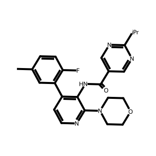 Cc1ccc(F)c(-c2ccnc(N3CCOCC3)c2NC(=O)c2cnc(C(C)C)nc2)c1